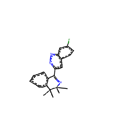 CC1(C)N=C(c2cc3ccc(F)cc3nn2)c2ccccc2C1(C)C